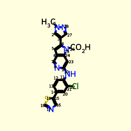 Cn1cc(-c2cc3cnc(Nc4ccc(-c5cncs5)cc4Cl)cc3n2C(=O)O)cn1